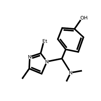 CCc1nc(C)cn1C(c1ccc(O)cc1)N(C)C